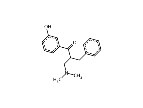 CN(C)CC(Cc1ccccc1)C(=O)c1cccc(O)c1